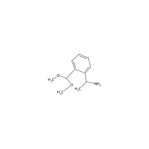 COC(OC)c1ccccc1C(C)N